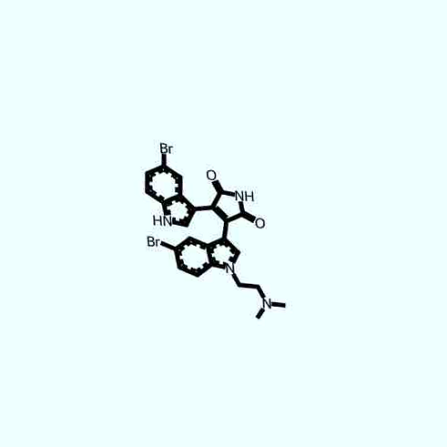 CN(C)CCn1cc(C2=C(c3c[nH]c4ccc(Br)cc34)C(=O)NC2=O)c2cc(Br)ccc21